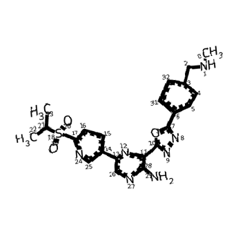 CNCc1ccc(-c2nnc(-c3nc(-c4ccc(S(=O)(=O)C(C)C)nc4)cnc3N)o2)cc1